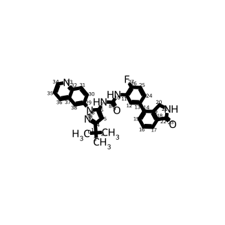 CC(C)(C)c1cc(NC(=O)Nc2cc(-c3cccc4c3CNC4=O)ccc2F)n(-c2ccc3ncccc3c2)n1